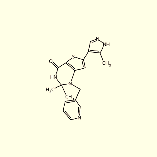 Cc1[nH]ncc1-c1cc2c(s1)C(=O)NC(C)(C)N2Cc1cccnc1